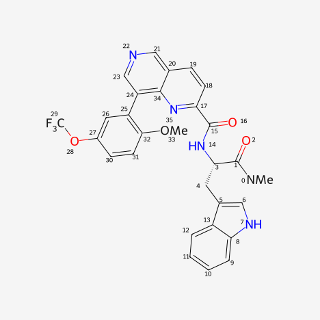 CNC(=O)[C@H](Cc1c[nH]c2ccccc12)NC(=O)c1ccc2cncc(-c3cc(OC(F)(F)F)ccc3OC)c2n1